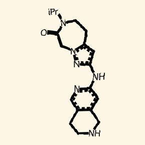 CC(C)N1CCc2cc(Nc3cc4c(cn3)CCNC4)nn2CC1=O